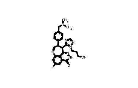 CN(C)Cc1ccc(C2C=Nc3cc(F)cc4c(=O)[nH]nc(c34)C2c2ncnn2CCCO)cc1